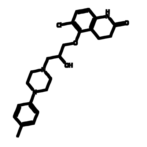 Cc1ccc(N2CCN(CC(O)COc3c(Cl)ccc4c3CCC(=O)N4)CC2)cc1